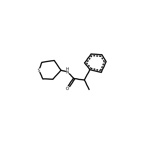 CC(C(=O)NC1CCSCC1)c1ccccc1